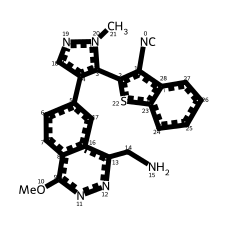 [C-]#[N+]c1c(-c2c(-c3ccc4c(OC)nnc(CN)c4c3)cnn2C)sc2ccccc12